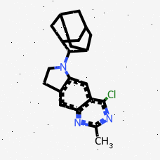 Cc1nc(Cl)c2cc3c(cc2n1)CCN3C1C2CC3CC(C2)CC1C3